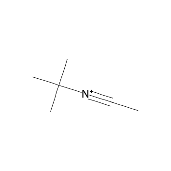 CC#[N+]C(C)(C)C